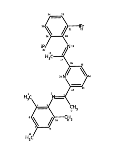 C/C(=N\c1c(C)cc(C)cc1C)c1cccc(/C(C)=N/c2c(C(C)C)cccc2C(C)C)n1